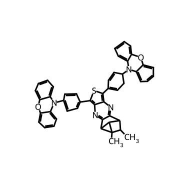 CC1C2c3nc4c(C5=CCC(N6c7ccccc7Oc7ccccc76)C=C5)sc(-c5ccc(N6c7ccccc7Oc7ccccc76)cc5)c4nc3C3C2C13C